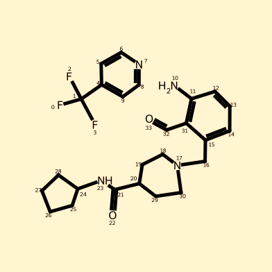 FC(F)(F)c1ccncc1.Nc1cccc(CN2CCC(C(=O)NC3CCCC3)CC2)c1C=O